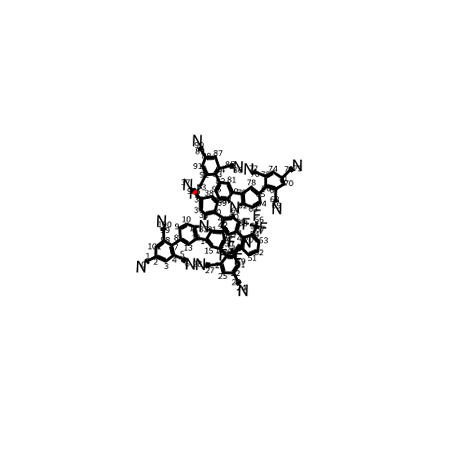 N#Cc1cc(C#N)c(-c2ccc3c(c2)c2cc(-c4c(C#N)cc(C#N)cc4C#N)ccc2n3-c2cc(C#N)ccc2-c2ccc(-c3c(C(F)(F)F)cccc3C(F)(F)F)cc2-n2c3ccc(-c4c(C#N)cc(C#N)cc4C#N)cc3c3cc(-c4c(C#N)cc(C#N)cc4C#N)ccc32)c(C#N)c1